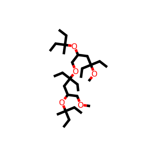 CCC(C)(CC)OC(COC(CC)(CC)CC(COC)OC(C)(CC)CC)CC(CC)(CC)OC